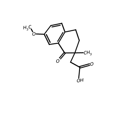 COc1ccc2c(c1)C(=O)C(C)(CC(=O)O)CC2